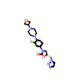 O=C1O[C@@H](Cn2ccnn2)CN1c1ccc(N2CCN(C3COC3)CC2)c(F)c1